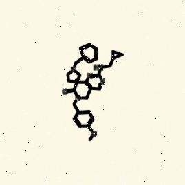 COc1ccc(CN2Cc3cnc(NCC4CC4)nc3C3(CCN(Cc4ccccc4)C3)C2=O)cc1